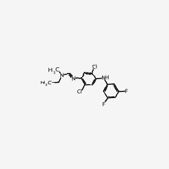 CCN(C)C=Nc1cc(Cl)c(Nc2cc(F)cc(F)c2)cc1Cl